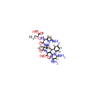 CC(O/N=C(\C(=O)NC1(C=S)C(=O)N2C(C(=O)O)=C(C3=NC(N)=CC(N)N3c3ccccc3)CS[C@H]21)c1csc(N)n1)C(=O)O